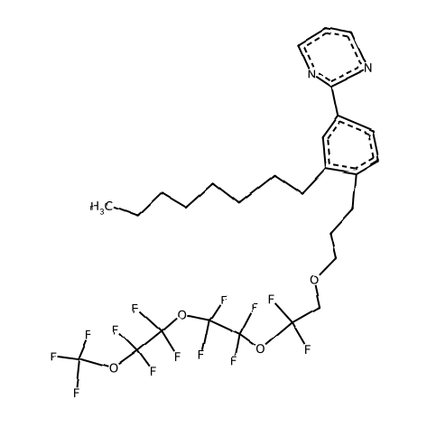 CCCCCCCCc1cc(-c2ncccn2)ccc1CCCOCC(F)(F)OC(F)(F)C(F)(F)OC(F)(F)C(F)(F)OC(F)(F)F